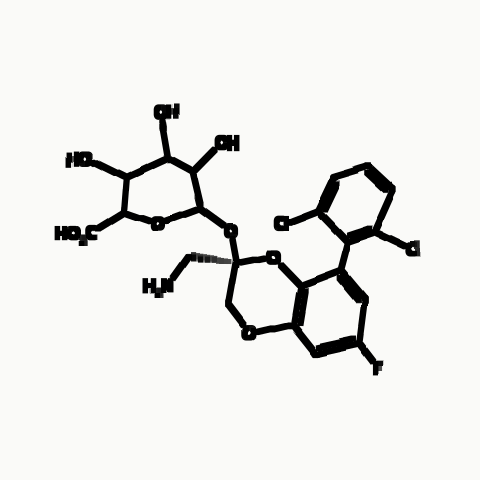 NC[C@@]1(OC2OC(C(=O)O)C(O)C(O)C2O)COc2cc(F)cc(-c3c(Cl)cccc3Cl)c2O1